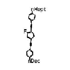 CCCCCCCCCCc1ccc(C#Cc2ccc(C#Cc3ccc(CCCCCCC)cc3)c(F)c2)cc1